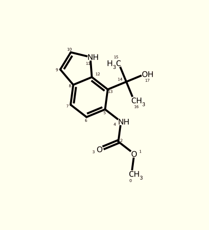 COC(=O)Nc1ccc2cc[nH]c2c1C(C)(C)O